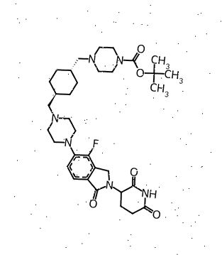 CC(C)(C)OC(=O)N1CCN(C[C@H]2CC[C@H](CN3CCN(c4ccc5c(c4F)CN(C4CCC(=O)NC4=O)C5=O)CC3)CC2)CC1